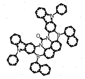 O=C1N2c3cc4c5ccccc5n(-c5ccccc5)c4cc3B(c3cccc4ccccc34)c3ccc4ccc5c(c4c32)N1c1cc2c3ccccc3n(-c3ccccc3)c2cc1B5c1cccc2ccccc12